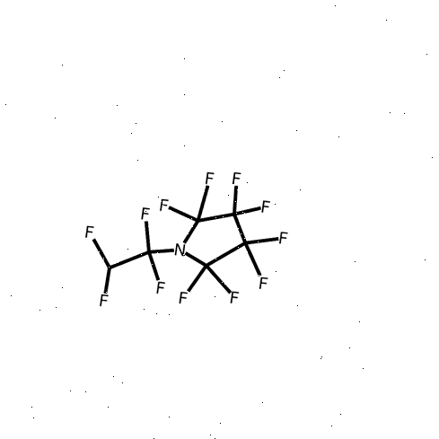 FC(F)C(F)(F)N1C(F)(F)C(F)(F)C(F)(F)C1(F)F